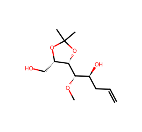 C=CC[C@H](O)[C@H](OC)[C@H]1OC(C)(C)O[C@H]1CO